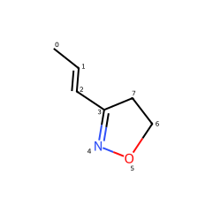 CC=CC1=NOCC1